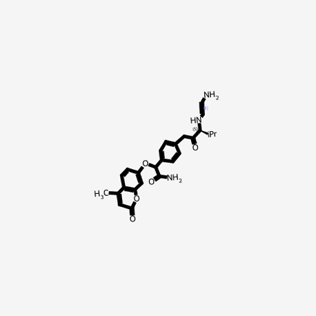 Cc1cc(=O)oc2cc(OC(C(N)=O)c3ccc(CC(=O)[C@@H](N/C=C/N)C(C)C)cc3)ccc12